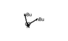 CCCCC=CCCCCCCCCO[C@@H]1CN(C)C[C@H]1OCCCCCCCCC=CCCCC